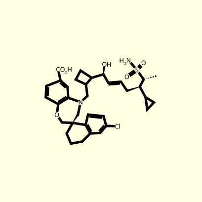 C[C@H]([C@H](C/C=C/[C@H](O)C1CCC1CN1C[C@@]2(CCCc3cc(Cl)ccc32)COc2ccc(C(=O)O)cc21)C1CC1)S(N)(=O)=O